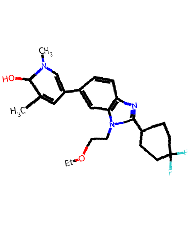 CCOCCn1c(C2CCC(F)(F)CC2)nc2ccc(C3=CN(C)C(O)C(C)=C3)cc21